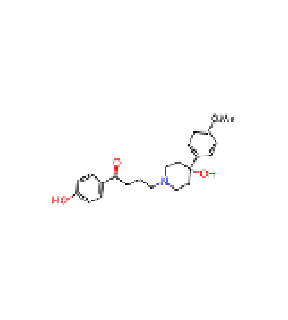 COc1ccc(C2(O)CCN(CCCC(=O)c3ccc(O)cc3)CC2)cc1